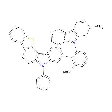 CNc1cccc(-n2c3c(c4ccccc42)C=CC(C)C3)c1-c1ccc2c3c4sc5ccccc5c4ccc3n(-c3ccccc3)c2c1